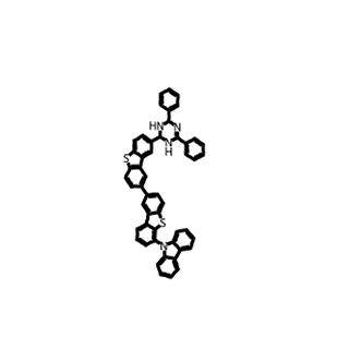 c1ccc(C2=NC(c3ccccc3)NC(c3ccc4sc5ccc(-c6ccc7sc8c(-n9c%10ccccc%10c%10ccccc%109)cccc8c7c6)cc5c4c3)N2)cc1